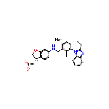 CCc1nc2ccccc2n1-c1cccc(CNc2ccc3c(c2)OC[C@H]3CC(=O)[O-])c1C.[Na+]